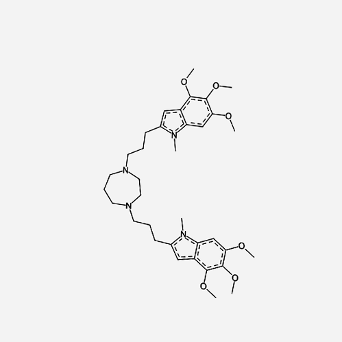 COc1cc2c(cc(CCCN3CCCN(CCCc4cc5c(OC)c(OC)c(OC)cc5n4C)CC3)n2C)c(OC)c1OC